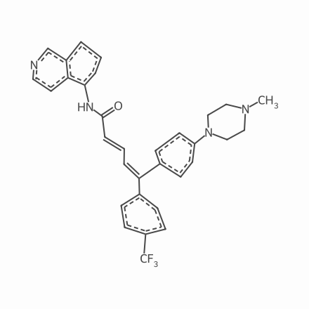 CN1CCN(c2ccc(/C(=C\C=C\C(=O)Nc3cccc4cnccc34)c3ccc(C(F)(F)F)cc3)cc2)CC1